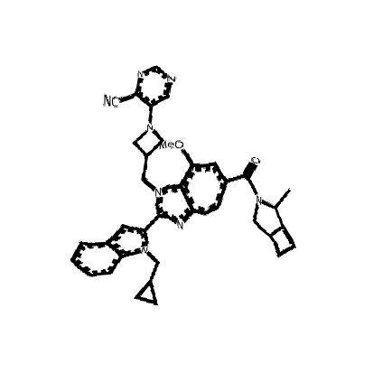 COc1cc(C(=O)N2CC3CC=C3C2C)cc2nc(-c3cc4ccccc4n3CC3CC3)n(CC3CN(c4cncnc4C#N)C3)c12